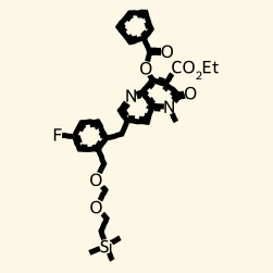 CCOC(=O)c1c(OC(=O)c2ccccc2)c2ncc(Cc3ccc(F)cc3COCOCC[Si](C)(C)C)cc2n(C)c1=O